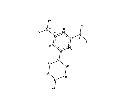 CC1CCC(c2nc(N(C)C)nc(N(C)C)n2)CC1